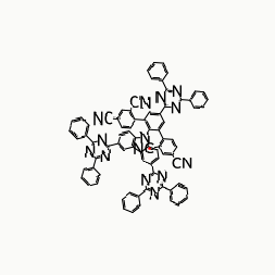 N#Cc1ccc(-c2cc(-c3nc(-c4ccccc4)nc(-c4ccccc4)n3)cc(-c3ccc(C#N)cc3C#N)c2-n2c3ccc(-c4nc(-c5ccccc5)nc(-c5ccccc5)n4)cc3c3cc(-c4nc(-c5ccccc5)nc(-c5ccccc5)n4)ccc32)c(C#N)c1